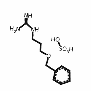 N=C(N)NCCCOCc1ccccc1.O=S(=O)(O)O